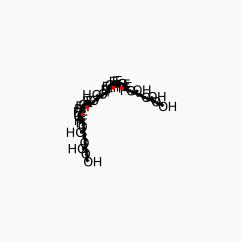 OCCOCC(O)COCCCC(O)COCC(F)(F)C(F)(F)OC(F)(F)C(F)(F)C(F)(F)OC(F)(F)C(F)(F)COCC(O)COCC(F)(F)C(F)(F)OC(F)(F)C(F)(F)C(F)(F)OC(F)(F)C(F)(F)COCC(O)CCCOCC(O)COCCO